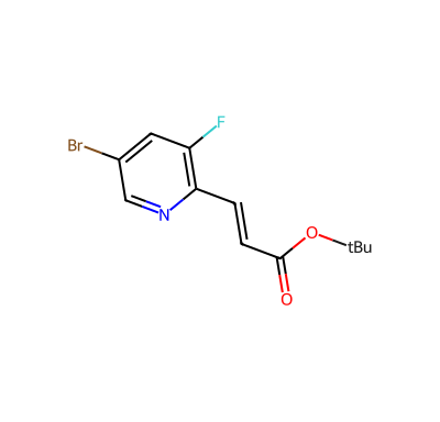 CC(C)(C)OC(=O)C=Cc1ncc(Br)cc1F